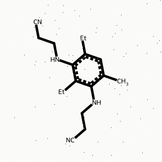 CCc1cc(C)c(NCCC#N)c(CC)c1NCCC#N